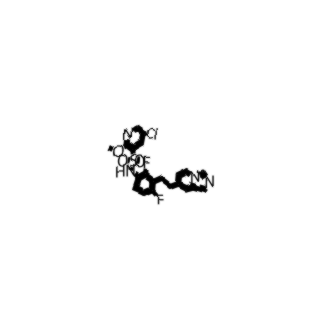 COc1ncc(Cl)cc1S(=O)(=O)Nc1ccc(F)c(CCc2ccn3cncc3c2)c1F